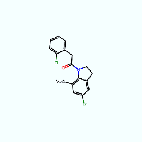 COc1cc(Br)cc2c1N(C(=O)Cc1ccccc1Cl)CC2